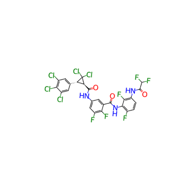 O=C(Nc1c(F)ccc(NC(=O)C(F)F)c1F)c1cc(NC(=O)[C@H]2[C@H](c3cc(Cl)c(Cl)c(Cl)c3)C2(Cl)Cl)cc(F)c1F